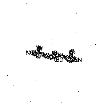 CC(C)(C)c1c2ccc(-c3ccc(-c4cc5ccc6cc(C#N)cc7c6c5c(c4)n7-c4ccccc4)cc3)cc2c(C(C)(C)C)c2ccc(-c3ccc(-c4cc5ccc6cc(C#N)cc7c6c5c(c4)n7-c4ccccc4)cc3)cc12